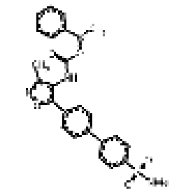 CNS(=O)(=O)c1ccc(-c2ccc(-c3onc(C)c3NC(=O)O[C@H](C)c3ccccc3)cc2)cc1